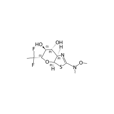 CON(C)C1=N[C@@H]2[C@@H](O)[C@H](O)[C@@H](C(C)(F)F)O[C@@H]2S1